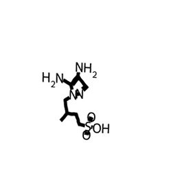 CC(CCS(=O)(=O)O)Cn1ncc(N)c1N